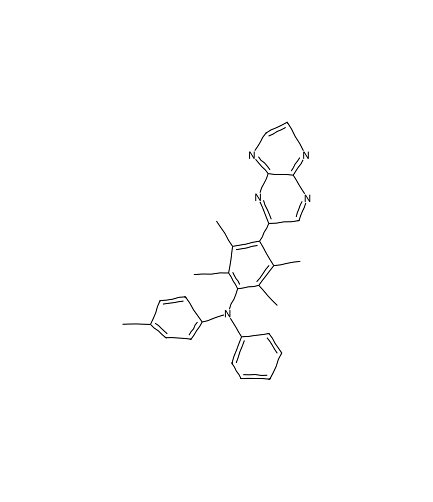 Cc1ccc(N(c2ccccc2)c2c(C)c(C)c(-c3cnc4nccnc4n3)c(C)c2C)cc1